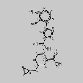 O=C(N[C@H]1CCN(CC2CC2)C[C@@H]1C(=O)O)c1cc(-c2cccc(F)c2F)on1